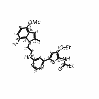 CCOc1cc(-c2cc(NCCn3c(C)cc4c(OC)ccc(F)c43)ncn2)sc1NC(=O)CC